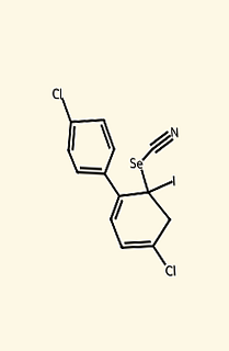 N#C[Se]C1(I)CC(Cl)=CC=C1c1ccc(Cl)cc1